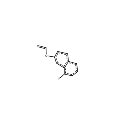 O=[C]Oc1ccc2cccc(F)c2c1